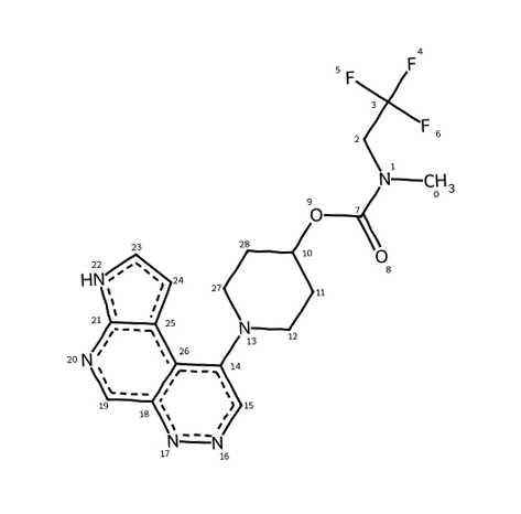 CN(CC(F)(F)F)C(=O)OC1CCN(c2cnnc3cnc4[nH]ccc4c23)CC1